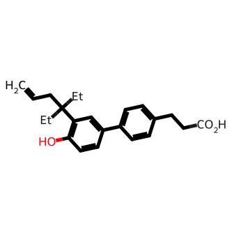 C=CCC(CC)(CC)c1cc(-c2ccc(CCC(=O)O)cc2)ccc1O